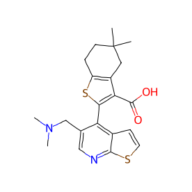 CN(C)Cc1cnc2sccc2c1-c1sc2c(c1C(=O)O)CC(C)(C)CC2